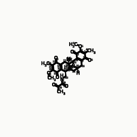 COC1=C(C)C(=O)C2=C(C1=O)[C@@H]1[C@@H]3CC4=C(C(=O)C(OC)=C(C)C4=O)[C@H](CNC(=O)C(C)=O)N3C[C@H](C2)N1C